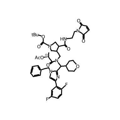 CC(=O)O[C@@H](C)C(=O)N(CC1CN(C(=O)OC(C)(C)C)CC1C(=O)NCCN1C(=O)C=CC1=O)C(c1nc(-c2cc(F)ccc2F)cn1Cc1ccccc1)C1CCOCC1